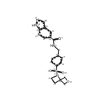 O=C(NCc1ccc(S(=O)(=O)N2CCC23COC3)cc1)c1cnc2[nH]ncc2c1